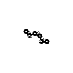 c1ccc2c(c1)oc1c(-c3ccc4oc5ccc(-c6ncnc7c6sc6ccccc67)cc5c4c3)nccc12